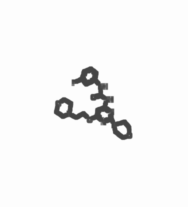 O=C(Nc1cccc(F)c1)Nc1cc(OCCN2CCOCC2)nc(N2CCOCC2)n1